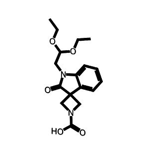 CCOC(CN1C(=O)C2(CN(C(=O)O)C2)c2ccccc21)OCC